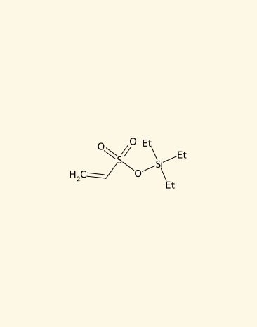 C=CS(=O)(=O)O[Si](CC)(CC)CC